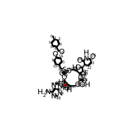 Cc1ccc(C(=O)Oc2ccc(CSP3(=O)OC[C@H]4O[C@@H](C5C=CC(=O)NC5=O)[C@H](F)[C@@H]4OP(=O)(O)OC[C@H]4O[C@@H](n5cnc6c(N)ncnc65)[C@H](O3)[C@@H]4F)cc2)cc1